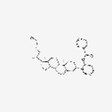 CC(C)CCC[C@@H](C)[C@H]1CCC2C3CC=C4CC(c5ccccc5OC(=O)c5ccccc5)CC[C@]4(C)C3CC[C@@]21C